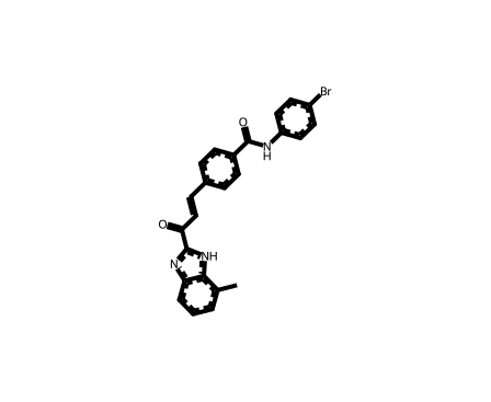 Cc1cccc2nc(C(=O)C=Cc3ccc(C(=O)Nc4ccc(Br)cc4)cc3)[nH]c12